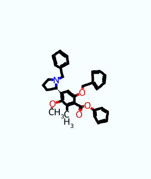 COc1c([C@@H]2CCCN2Cc2ccccc2)cc(OCc2ccccc2)c(C(=O)Oc2ccccc2)c1C